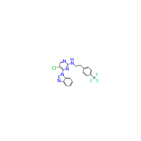 FC(F)(F)c1ccc(CCNc2ncc(Cl)c(-n3cnc4ccccc43)n2)cc1